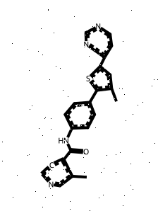 Cc1cnccc1C(=O)Nc1ccc(-c2sc(-c3ccncn3)cc2C)cc1